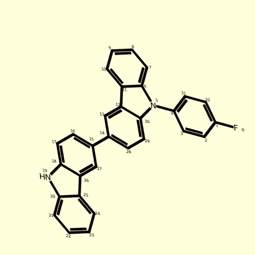 Fc1ccc(-n2c3ccccc3c3cc(-c4ccc5[nH]c6ccccc6c5c4)ccc32)cc1